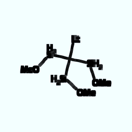 CCC([SiH2]OC)([SiH2]OC)[SiH2]OC